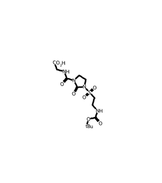 CC(C)(C)OC(=O)NCCS(=O)(=O)N1CCN(C(=O)NCC(=O)O)C1=O